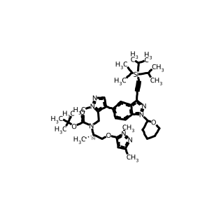 Cc1cc(OC[C@H](C)N(Cc2c(-c3ccc4c(c3)c(C#C[Si](C(C)C)(C(C)C)C(C)C)nn4C3CCCCO3)cnn2C)C(=O)OC(C)(C)C)n(C)n1